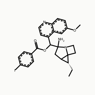 CC[C@@H]1C2CC(N)(C(OC(=O)c3ccc(I)cc3)c3ccnc4ccc(OC)cc34)N3CCC213